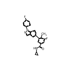 Cc1c(F)cc(C(=O)NC2CC2)cc1-c1ccc2c(cnn2-c2ccc(F)cc2)c1